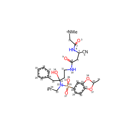 CNCC(=O)NC(C#N)CC(=O)NCCC(O)(Cc1ccccc1)N(CC(C)C)S(=O)(=O)c1ccc2c(c1)OC(C)O2